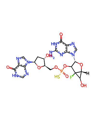 Nc1nc2c(ncn2[C@@H]2O[C@@H]3C(O)[C@]3(F)C2O[P@](=O)(S)OC[C@H]2O[C@@H](n3cnc4c(=O)[nH]cnc43)C[C@@H]2O)c(=O)[nH]1